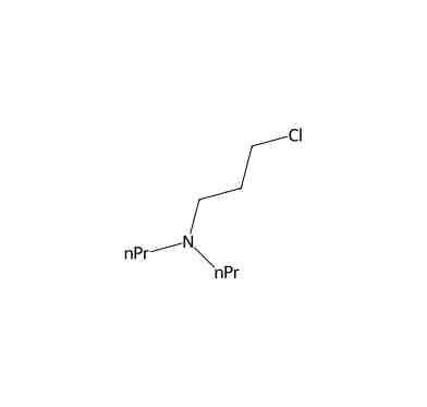 CCCN(CCC)CCCCl